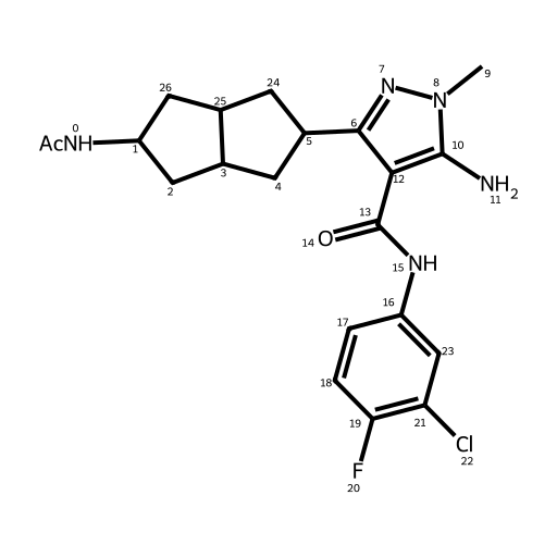 CC(=O)NC1CC2CC(c3nn(C)c(N)c3C(=O)Nc3ccc(F)c(Cl)c3)CC2C1